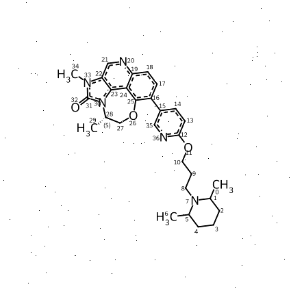 CC1CCCC(C)N1CCCOc1ccc(-c2ccc3ncc4c5c3c2OC[C@H](C)n5c(=O)n4C)cn1